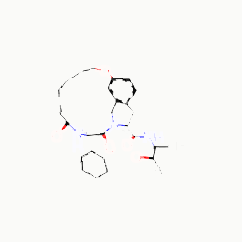 CCCC(NC(=O)[C@@H]1Cc2ccc3cc2CN1C(=O)[C@H](C1CCCCC1)NC(=O)CCCCCCO3)C(=O)C(C)=O